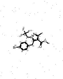 COC(=O)c1c(C)nn(CC(F)(F)F)c1Cc1ccc(Br)cc1